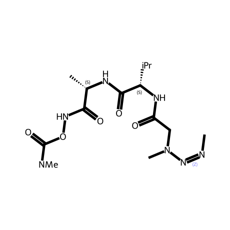 C/N=N\N(C)CC(=O)N[C@H](C(=O)N[C@@H](C)C(=O)NOC(=O)NC)C(C)C